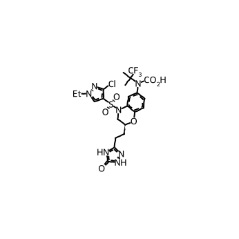 CCn1cc(S(=O)(=O)N2C[C@H](CCc3n[nH]c(=O)[nH]3)Oc3ccc(N(C(=O)O)C(C)(C)C(F)(F)F)cc32)c(Cl)n1